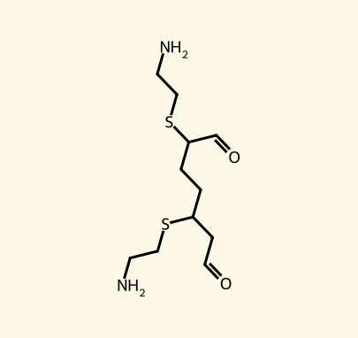 NCCSC(C=O)CCC(CC=O)SCCN